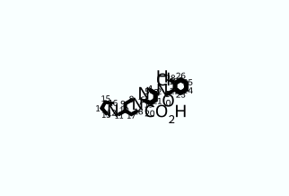 O=C(Nc1cnc(N2CCC(CN3CCCC3)CC2)c(C(=O)O)c1)c1ccccc1Cl